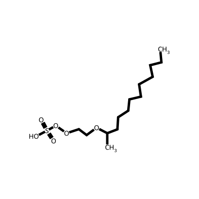 CCCCCCCCCCC(C)OCCOOS(=O)(=O)O